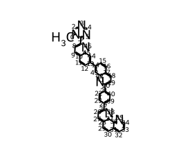 CN1C=NC=NC1c1ccc2ccc(-c3ccc4ccc(-c5ccc(-c6ccc7ccc8cccnc8c7n6)cc5)nc4c3)cc2n1